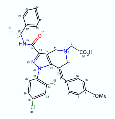 COc1ccc(/C=C2\CN(CC(=O)O)Cc3c(C(=O)N[C@H](C)c4ccccc4)nn(-c4ccc(Cl)cc4Cl)c32)cc1